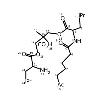 CC(=O)CCCCC(=O)NC(CC(C)C)C(=O)OCC(C)(COC(=O)C(N)CC(C)C)C(=O)O